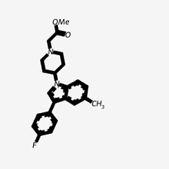 COC(=O)CN1CCC(n2cc(-c3ccc(F)cc3)c3cc(C)ccc32)CC1